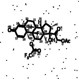 CC(=O)OCC(=O)[C@@]1(O)[C@@H](C)C[C@H]2[C@@H]3CCC4=CC(=O)C=C[C@]4(C)[C@@]3(F)[C@@H](OC(=O)C(F)(F)F)C[C@@]21C